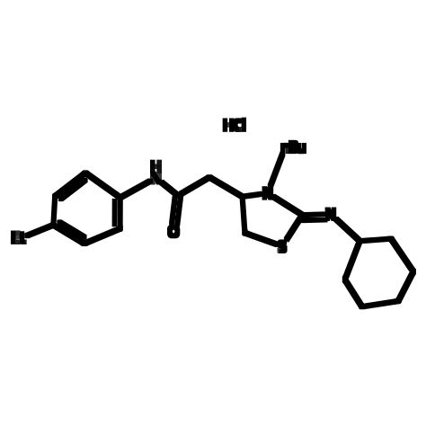 CCCCN1/C(=N/C2CCCCC2)SCC1CC(=O)Nc1ccc(CC)cc1.Cl